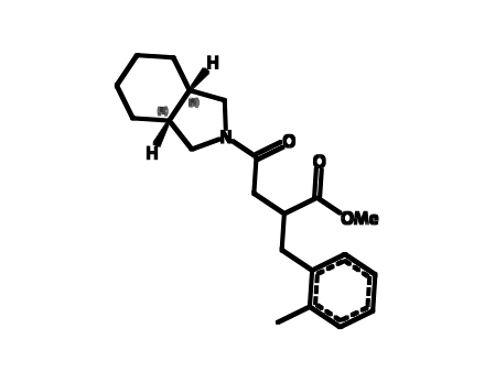 COC(=O)C(CC(=O)N1C[C@H]2CCCC[C@H]2C1)Cc1ccccc1C